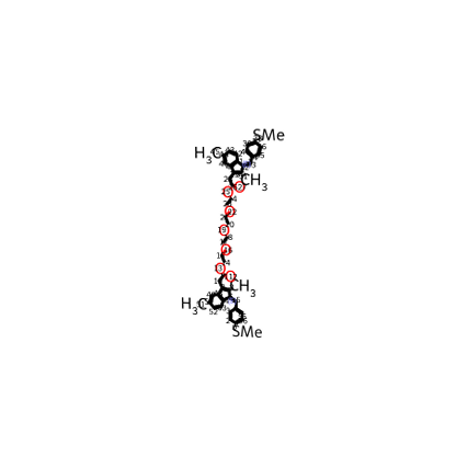 CSc1ccc(/C=C2/C(C)=C(CC(=O)OCCOCCOCCOCCOC(=O)CC3=C(C)/C(=C/c4ccc(SC)cc4)c4ccc(C)cc43)c3cc(C)ccc32)cc1